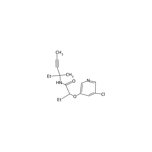 CC#CC(C)(CC)NC(=O)C(CC)Oc1cncc(Cl)c1